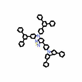 c1ccc(-c2cc(-c3ccccc3)cc(-c3ccc(N(c4ccc(-c5cc(-c6ccccc6)cc(-c6ccccc6)c5)cc4)c4ccc(-c5ccc(-n6c7ccc(-c8ccccc8)cc7c7cc(-c8ccccc8)ccc76)cc5)c5nsnc45)cc3)c2)cc1